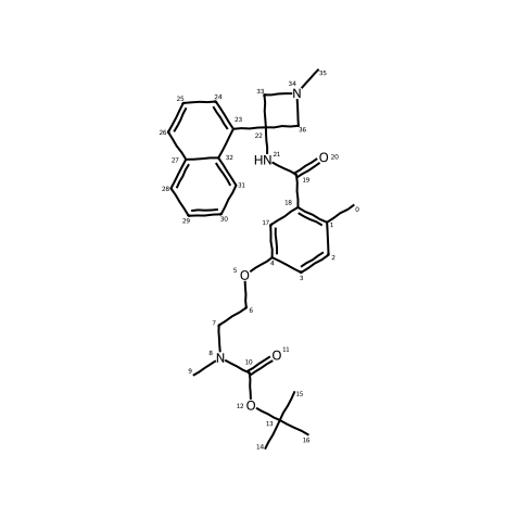 Cc1ccc(OCCN(C)C(=O)OC(C)(C)C)cc1C(=O)NC1(c2cccc3ccccc23)CN(C)C1